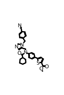 COC(=O)c1ccc(-c2ccc(N(Cc3cncn3Cc3ccc(C#N)cc3)C(=O)C3CCCCC3)cc2)s1